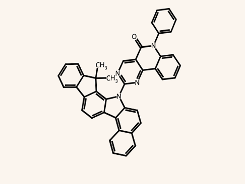 CC1(C)c2ccccc2-c2ccc3c4c5ccccc5ccc4n(-c4ncc5c(=O)n(-c6ccccc6)c6ccccc6c5n4)c3c21